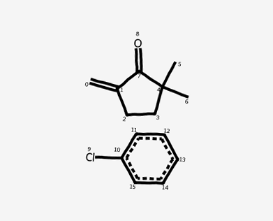 C=C1CCC(C)(C)C1=O.Clc1ccccc1